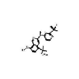 CCOc1ccc(C(C)(C)NC)c2cc(Nc3ccnc(C(C)(C)F)n3)ncc12